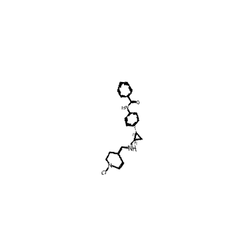 O=C(Nc1ccc([C@@H]2C[C@H]2NCC2CCN(Cl)CC2)cc1)c1ccccc1